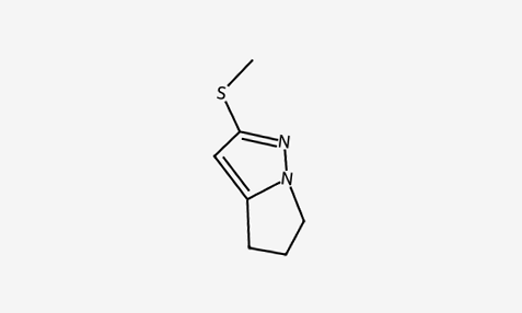 CSc1cc2n(n1)CCC2